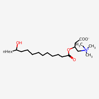 CCCCCCC(O)CCCCCCCCCC(=O)OC(CC(=O)[O-])C[N+](C)(C)C